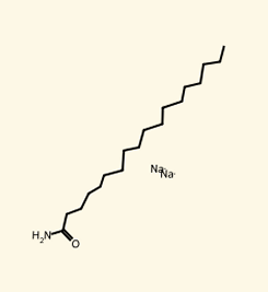 CCCCCCCCCCCCCCCCCC(N)=O.[Na].[Na]